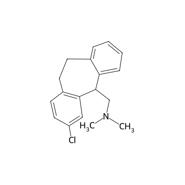 CN(C)CC1c2ccccc2CCc2ccc(Cl)cc21